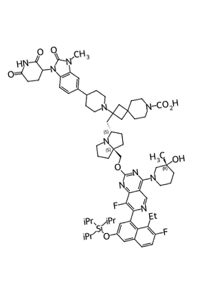 CCc1c(F)ccc2cc(O[Si](C(C)C)(C(C)C)C(C)C)cc(-c3ncc4c(N5CCC[C@@](C)(O)C5)nc(OC[C@@]56CCCN5[C@H](CC5(N7CCC(c8ccc9c(c8)n(C)c(=O)n9C8CCC(=O)NC8=O)CC7)CC7(CCN(C(=O)O)CC7)C5)CC6)nc4c3F)c12